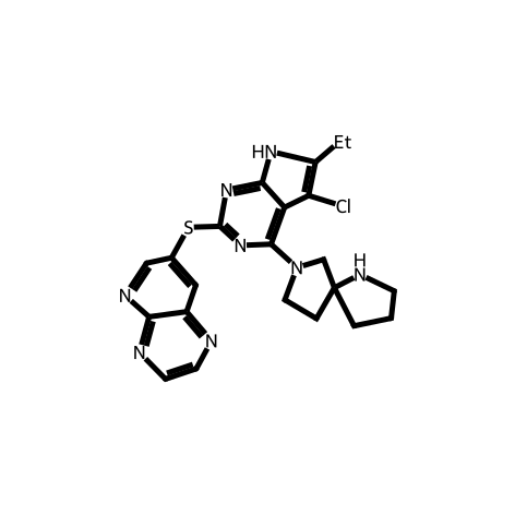 CCc1[nH]c2nc(Sc3cnc4nccnc4c3)nc(N3CCC4(CCCN4)C3)c2c1Cl